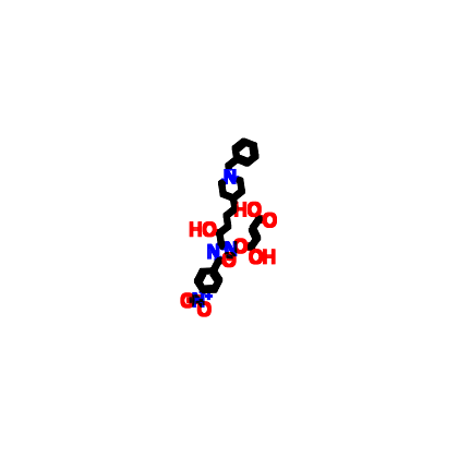 O=C(O)C=CC(=O)O.O=[N+]([O-])c1ccc(-c2nc(C(O)CCCC3CCN(Cc4ccccc4)CC3)no2)cc1